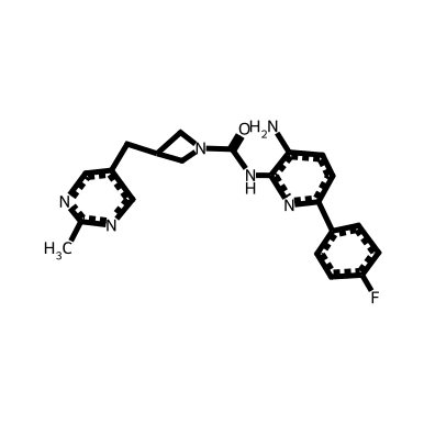 Cc1ncc(CC2CN(C(=O)Nc3nc(-c4ccc(F)cc4)ccc3N)C2)cn1